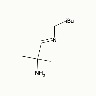 CCC(C)C/N=C/C(C)(C)N